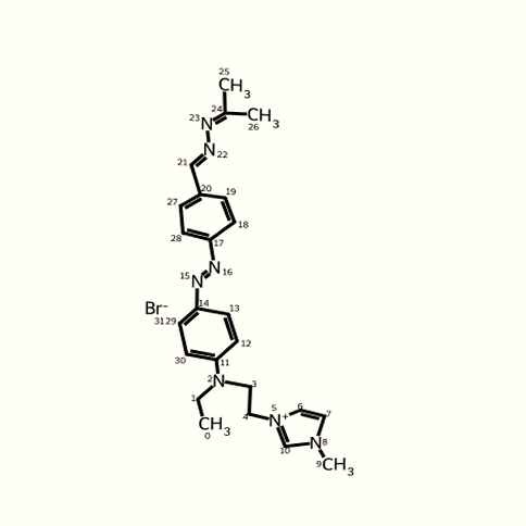 CCN(CC[n+]1ccn(C)c1)c1ccc(N=Nc2ccc(/C=N/N=C(C)C)cc2)cc1.[Br-]